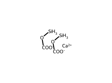 O=C([O-])O[SiH3].O=C([O-])O[SiH3].[Ca+2]